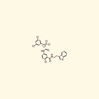 O=C(NCCc1csc2ccccc12)c1cc(NC(=O)[C@@H]2[C@@H](c3cc(Cl)cc(Cl)c3)C2(Cl)Cl)ccc1Cl